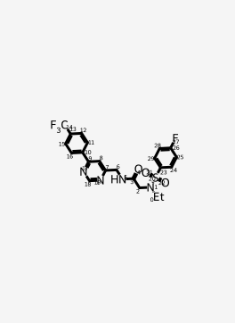 CCN(CC(=O)NCc1cc(-c2ccc(C(F)(F)F)cc2)ncn1)S(=O)(=O)c1ccc(F)cc1